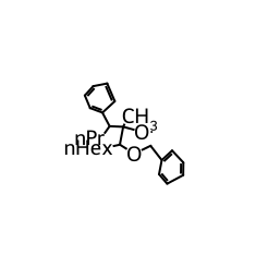 CCCCCCC(OCc1ccccc1)C(C)([O])C(CCC)c1ccccc1